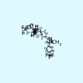 Cn1nc(-c2ccc3c(c2)C[C@H]2CC[C@@H](C3)[C@]23CN(CC(F)(F)F)S(=O)(=O)N3)cc1-c1ccc(C(F)(F)F)cc1